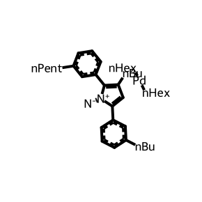 CCCCC[CH2][Pd][CH2]CCCCC.CCCCCc1cccc(C2=C(CCCC)C=C(c3cccc(CCCC)c3)[N+]2=[N-])c1